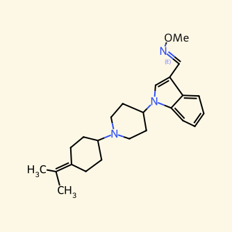 CO/N=C/c1cn(C2CCN(C3CCC(=C(C)C)CC3)CC2)c2ccccc12